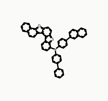 c1ccc(-c2ccc(N(c3ccc(-c4ccc5ccccc5c4)cc3)c3cccc4c3sc3ccc5oc6c7ccccc7ccc6c5c34)cc2)cc1